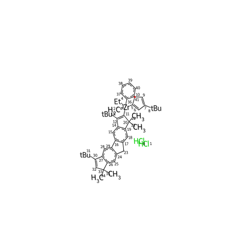 Cl.Cl.[CH2]=[Zr]([CH2]C)([C]1=CC(C(C)(C)C)=CC1)([C]1=C(C(C)(C)C)c2cc3c(cc2C1(C)C)Cc1cc2c(cc1-3)C(C(C)(C)C)=CC2(C)C)[c]1ccccc1